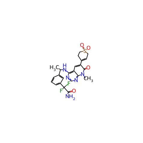 CC(Nc1ncnc2c1cc(C1=CCS(=O)(=O)CC1)c(=O)n2C)c1cccc(C(F)(F)C(N)=O)c1